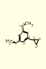 C=[C]c1cc(SC)cc(C2CC2)c1